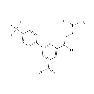 CN(C)CCN(C)c1nc(C(N)=O)cc(-c2ccc(C(F)(F)F)cc2)n1